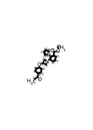 CCC(=O)c1ccc(OC2CN(c3cccc(C(=O)OC)c3-n3cccc3)C2)cc1